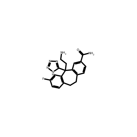 NCCC1(c2nnn[nH]2)c2cc(F)ccc2CCc2ccc(C(N)=O)cc21